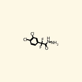 NNC(=O)C(F)(F)c1ccc(Cl)c(Cl)c1